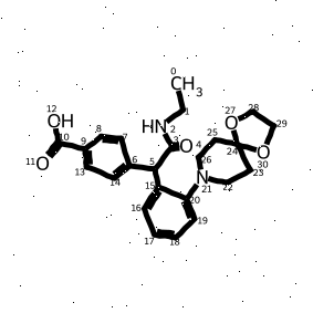 CCNC(=O)C(c1ccc(C(=O)O)cc1)c1ccccc1N1CCC2(CC1)OCCO2